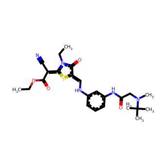 CCOC(=O)C(C#N)=c1sc(=CNc2cccc(NC(=O)CN(C)C(C)(C)C)c2)c(=O)n1CC